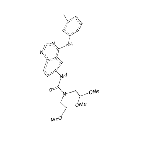 COCCN(CC(OC)OC)C(=O)Nc1ccc2ncnc(Nc3cccc(C)c3)c2c1